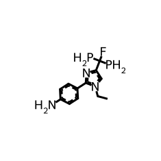 CCn1cc(C(F)(P)P)nc1-c1ccc(N)cc1